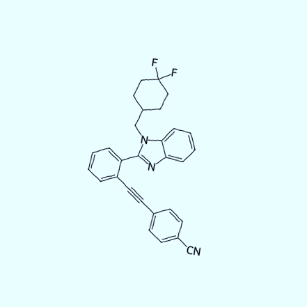 N#Cc1ccc(C#Cc2ccccc2-c2nc3ccccc3n2CC2CCC(F)(F)CC2)cc1